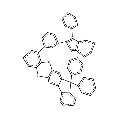 c1ccc(-n2c(-c3cccc(-c4cccc5c4Oc4cc6c(cc4O5)-c4ccccc4C6(c4ccccc4)c4ccccc4)c3)nc3ccccc32)cc1